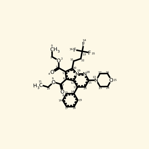 CCOC(=O)c1c(C(=O)OCC)c2c(-c3ccccc3)cc(N3CCOCC3)nn2c1CCC(F)(F)F